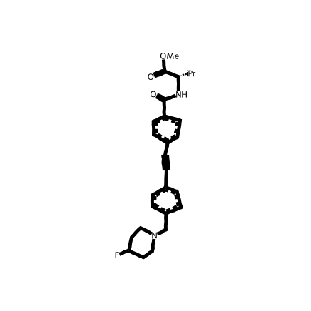 COC(=O)[C@@H](NC(=O)c1ccc(C#Cc2ccc(CN3CCC(F)CC3)cc2)cc1)C(C)C